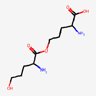 NC(CCCOC(=O)C(N)CCCO)C(=O)O